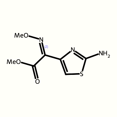 CO/N=C(\C(=O)OC)c1csc(N)n1